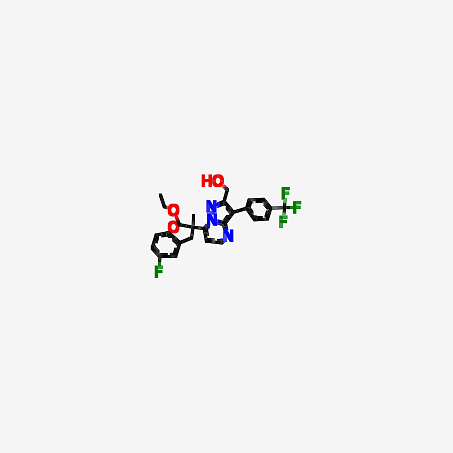 CCOC(=O)C(C)(Cc1cccc(F)c1)c1ccnc2c(-c3ccc(C(F)(F)F)cc3)c(CO)nn12